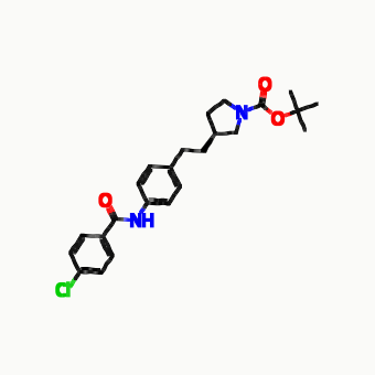 CC(C)(C)OC(=O)N1CC[C@H](CCc2ccc(NC(=O)c3ccc(Cl)cc3)cc2)C1